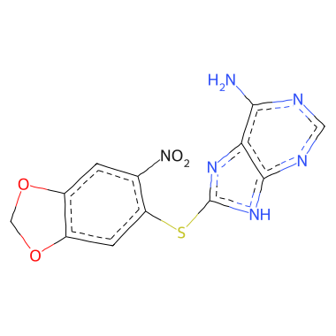 Nc1ncnc2[nH]c(Sc3cc4c(cc3[N+](=O)[O-])OCO4)nc12